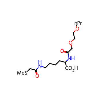 CCCOCCOCC(=O)NC(CCCCNC(=O)CSC)C(=O)O